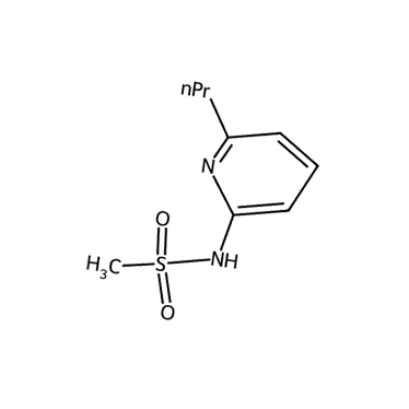 CCCc1cccc(NS(C)(=O)=O)n1